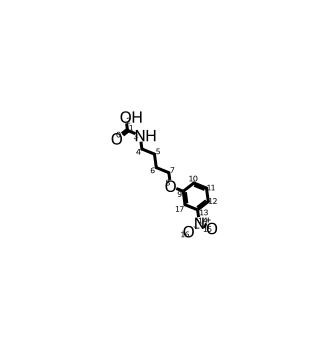 O=C(O)NCCCCOc1cccc([N+](=O)[O-])c1